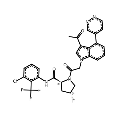 CC(=O)c1cn(CC(=O)N2C[C@H](F)C[C@H]2C(=O)Nc2cccc(Cl)c2C(F)(F)F)c2cccc(-c3ccnnc3)c12